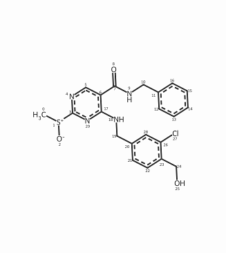 C[S+]([O-])c1ncc(C(=O)NCc2ccccc2)c(NCc2ccc(CO)c(Cl)c2)n1